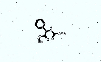 COC(=O)NC(C(=O)OC(C)(C)C)c1ccccc1